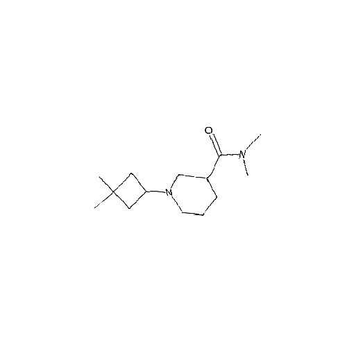 CN(C)C(=O)C1CCCN(C2CC(C)(C)C2)C1